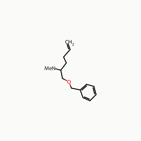 C=CCCC(COCc1ccccc1)NC